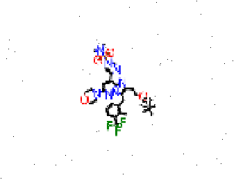 Cc1c(Cc2c(CCO[Si](C)(C)C(C)(C)C)nc3c(-c4cn(S(=O)(=O)N(C)C)cn4)cc(N4CCOCC4)nn23)cccc1C(F)(F)F